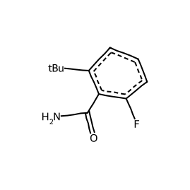 CC(C)(C)c1cccc(F)c1C(N)=O